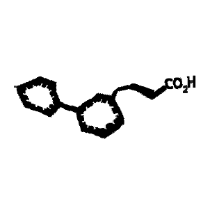 O=C(O)C=Cc1cccc(-c2cc[c]cc2)c1